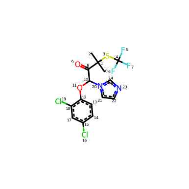 CC(C)(SC(F)(F)F)C(=O)C(Oc1ccc(Cl)cc1Cl)n1ccnc1